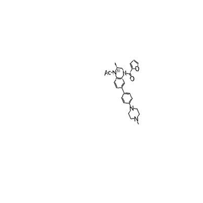 CC(=O)N1c2ccc(-c3ccc(N4CCN(C)CC4)cc3)cc2N(C(=O)c2ccco2)C[C@@H]1C